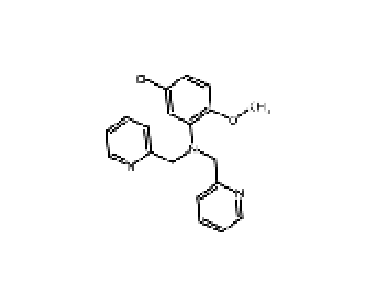 COc1ccc(Cl)cc1N(Cc1ccccn1)Cc1ccccn1